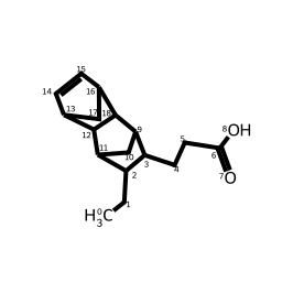 CCC1C(CCC(=O)O)C2CC1C1C3C=CC(C3)C21